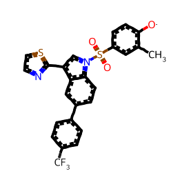 Cc1cc(S(=O)(=O)n2cc(-c3nccs3)c3cc(-c4ccc(C(F)(F)F)cc4)ccc32)ccc1[O]